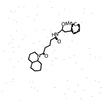 COC(Cc1ccccc1)NC(=O)CCCC(=O)N1CCCC2CCCCC21